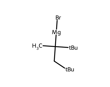 CC(C)(C)C[C](C)([Mg][Br])C(C)(C)C